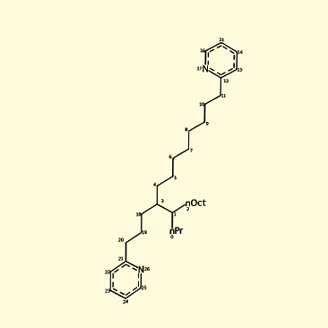 [CH2]CCC(CCCCCCCC)C(CCCCCCCCc1ccccn1)CCCc1ccccn1